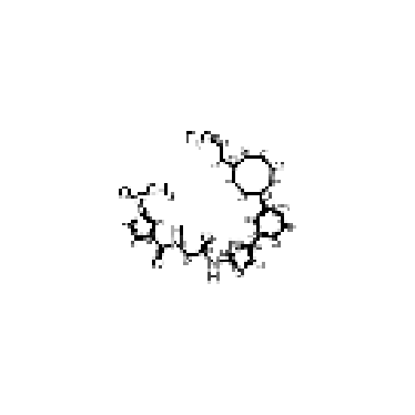 C[S+]([O-])n1ccc(C(=O)NCC(=O)Nc2nc(-c3cccc(C4CCCCC(CCC(F)(F)F)CC4)c3)cs2)c1